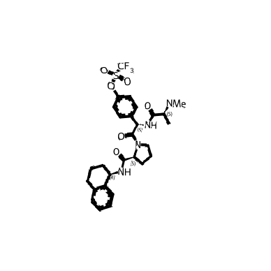 CN[C@@H](C)C(=O)N[C@H](C(=O)N1CCC[C@H]1C(=O)N[C@@H]1CCCc2ccccc21)c1ccc(OS(=O)(=O)C(F)(F)F)cc1